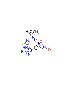 CCn1cnc2cc(-c3ccc4c(c3)N([C@H]3C[C@@H](N5CCC(C)(C)C5)C3)C(=O)C43CCN(C4COC4)CC3)nc(Nc3ccncc3F)c21